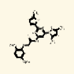 COc1ccc(C=O)c(OCC(=O)Nc2cc(-n3nc(C)cc3C)nc(-c3ccc(C)o3)n2)c1